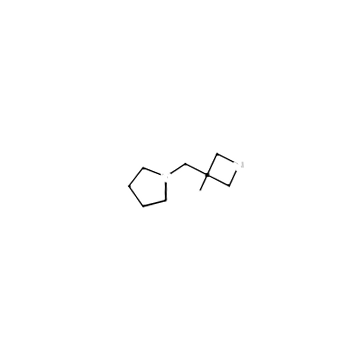 Cl.Cl.FC1(CN2CCCC2)CNC1